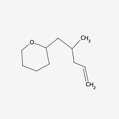 C=CCC(C)CC1CCCCO1